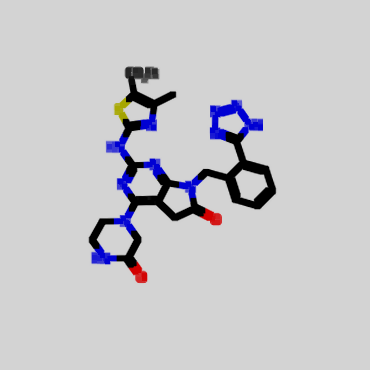 CCOC(=O)c1sc(Nc2nc(N3CCNC(=O)C3)c3c(n2)N(Cc2ccccc2-c2nnn[nH]2)C(=O)C3)nc1C